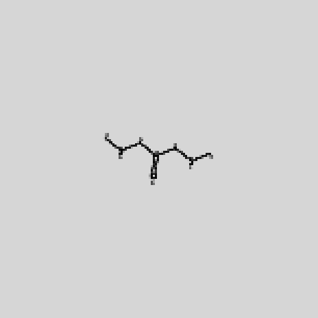 CSCC(=O)CSC